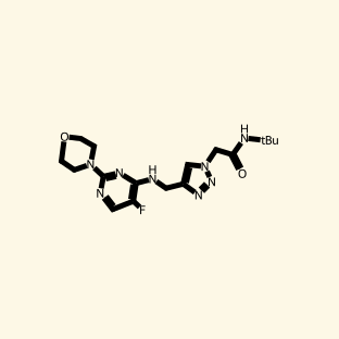 CC(C)(C)NC(=O)Cn1cc(CNc2nc(N3CCOCC3)ncc2F)nn1